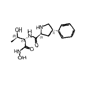 C[C@@H](O)[C@H](NC(=O)[C@@H]1C[C@@H](c2ccccc2)CN1)C(=O)NO